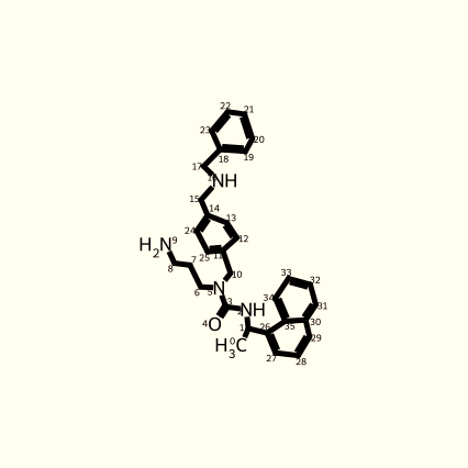 CC(NC(=O)N(CCCN)Cc1ccc(CNCc2ccccc2)cc1)c1cccc2ccccc12